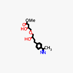 COC(=O)CC(O)COCC(O)CCc1ccc(C2(C)N=N2)cc1